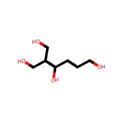 OCCCC(O)C(CO)CO